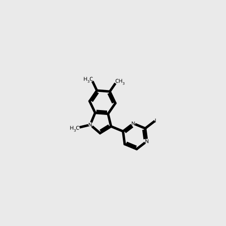 Cc1cc2c(-c3ccnc(I)n3)cn(C)c2cc1C